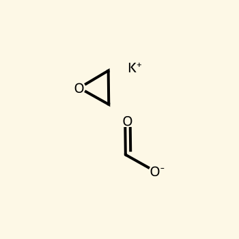 C1CO1.O=C[O-].[K+]